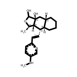 CBc1ccc(/C=C/[C@H]2[C@@H]3CCCC[C@H]3C[C@@]3(O)C(O)O[C@H](C)[C@@H]23)nc1